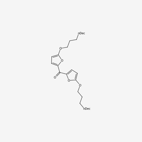 CCCCCCCCCCCCCOc1ccc(C(=O)c2ccc(OCCCCCCCCCCCCC)o2)o1